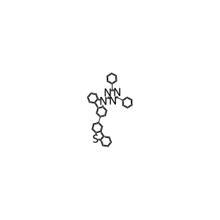 c1ccc(-c2nc(-c3ccccc3)nc(-n3c4ccccc4c4cc(-c5ccc6sc7ccccc7c6c5)ccc43)n2)cc1